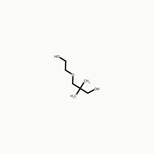 CC(C)(CO)COCCO